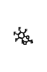 Fc1c(F)c(F)c(OC(=S)Cl)c(F)c1F